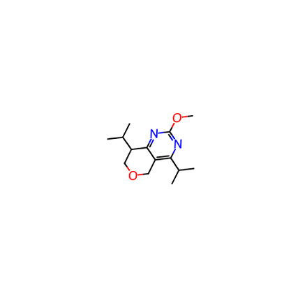 COc1nc(C(C)C)c2c(n1)C(C(C)C)COC2